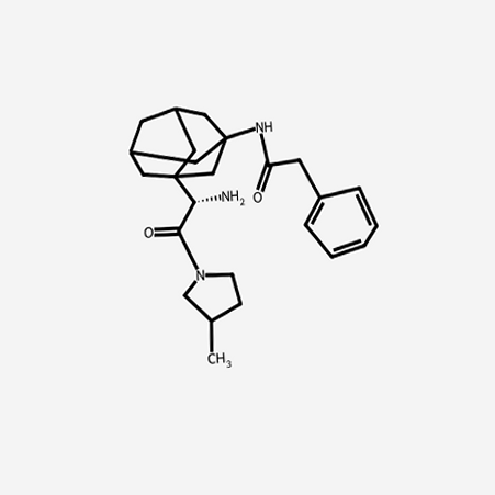 CC1CCN(C(=O)[C@@H](N)C23CC4CC(CC(NC(=O)Cc5ccccc5)(C4)C2)C3)C1